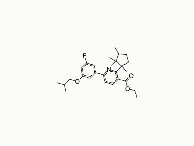 CCOC(=O)c1ccc(-c2cc(F)cc(OCC(C)C)c2)nc1C1(C)CCC(C)C1(C)C